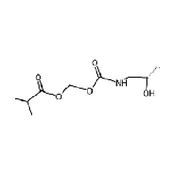 [CH2][C@H](O)CNC(=O)OCOC(=O)C(C)C